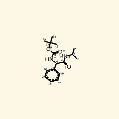 CC(C)NC(=O)[C@H](NC(=O)OC(C)(C)C)c1ccccc1